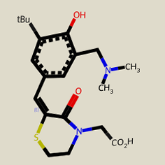 CN(C)Cc1cc(/C=C2/SCCN(CC(=O)O)C2=O)cc(C(C)(C)C)c1O